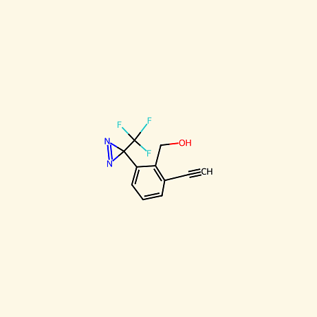 C#Cc1cccc(C2(C(F)(F)F)N=N2)c1CO